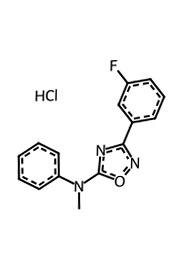 CN(c1ccccc1)c1nc(-c2cccc(F)c2)no1.Cl